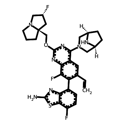 C=Cc1cc2c(N3C[C@H]4CC[C@@H](C3)N4)nc(OC[C@@]34CCCN3C[C@H](F)C4)nc2c(F)c1-c1ccc(F)c2sc(N)nc12